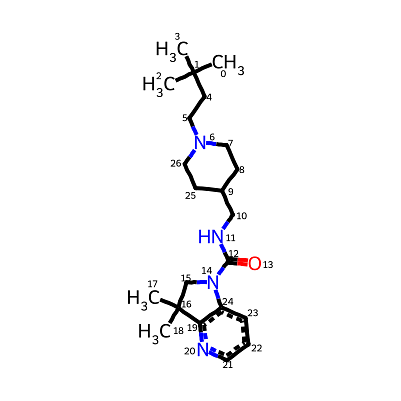 CC(C)(C)CCN1CCC(CNC(=O)N2CC(C)(C)c3ncccc32)CC1